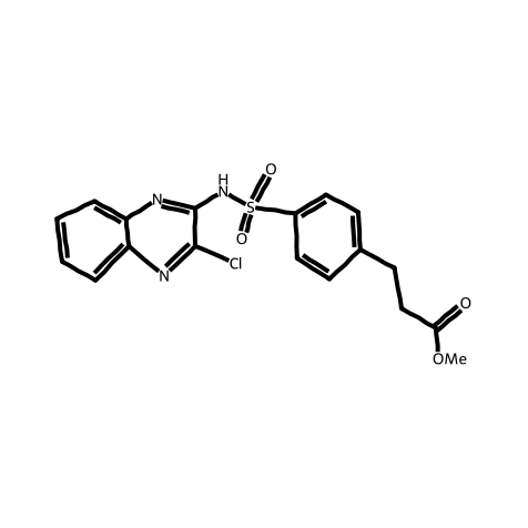 COC(=O)CCc1ccc(S(=O)(=O)Nc2nc3ccccc3nc2Cl)cc1